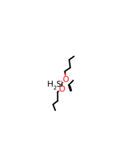 C=CC.CCCCO[SiH2]OCCCC